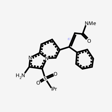 CNC(=O)/C=C(\c1ccccc1)c1ccc2nc(N)c(S(=O)(=O)C(C)C)n2c1